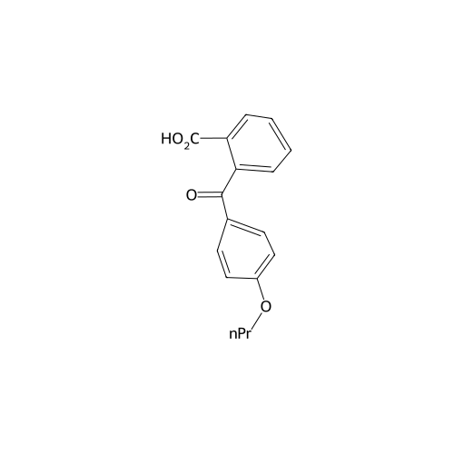 CCCOc1ccc(C(=O)c2ccccc2C(=O)O)cc1